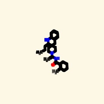 C=C(NC(=O)C1=C(C)CCCC1)N1CCC2(CC1)Cc1ccccc1N/C2=C/CC